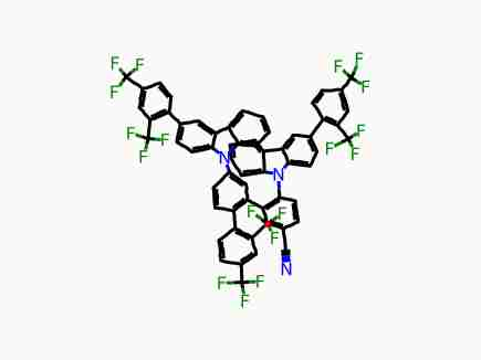 N#Cc1ccc(-n2c3ccccc3c3cc(-c4ccc(C(F)(F)F)cc4C(F)(F)F)ccc32)c(-c2cc(-n3c4ccccc4c4cc(-c5ccc(C(F)(F)F)cc5C(F)(F)F)ccc43)ccc2-c2ccc(C(F)(F)F)cc2C(F)(F)F)c1